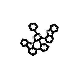 c1ccc(-c2nc(-c3cccc4c3sc3ccccc34)c3c(n2)-n2c4ccccc4c4cccc(c42)-c2ccccc2-3)cc1